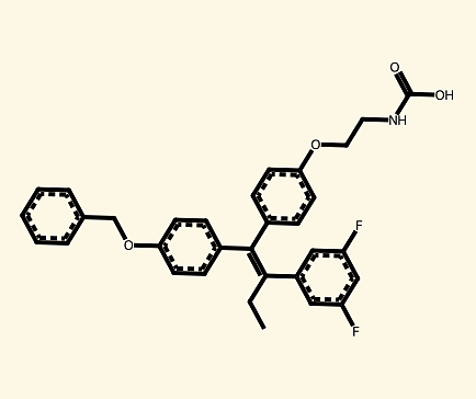 CCC(=C(c1ccc(OCCNC(=O)O)cc1)c1ccc(OCc2ccccc2)cc1)c1cc(F)cc(F)c1